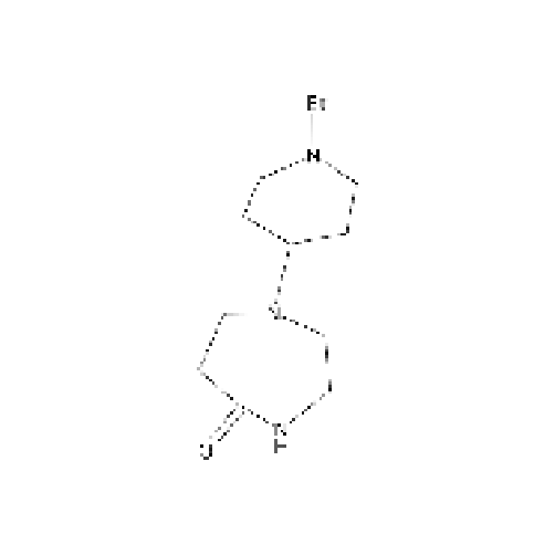 CCN1CCC(N2CCNC(=O)CC2)CC1